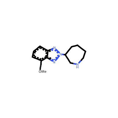 COc1cccc2nn(C3CCCCNC3)nc12